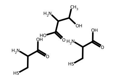 CC(O)C(N)C(=O)O.NC(CS)C(=O)O.NC(CS)C(=O)O